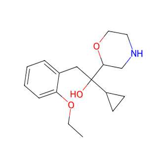 CCOc1ccccc1CC(O)(C1CC1)C1CNCCO1